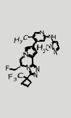 Cc1cnc(Nc2ccnn2C)cc1-c1cc2n(c1)C[C@H](CF)n1c-2nnc1C1(C(F)(F)F)CCC1